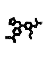 CCOc1cc(N(Cc2cncs2)c2ccc(C(=O)O)cc2)ccc1OC(F)F